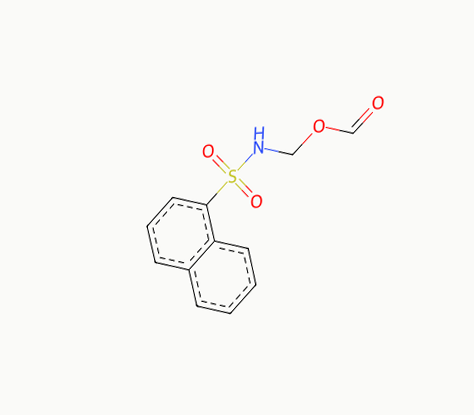 O=COCNS(=O)(=O)c1cccc2ccccc12